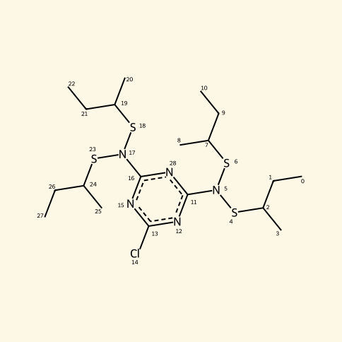 CCC(C)SN(SC(C)CC)c1nc(Cl)nc(N(SC(C)CC)SC(C)CC)n1